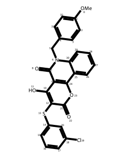 COc1ccc(Cn2c(=O)c3c(O)c(Sc4cccc(Cl)c4)c(=O)oc3c3ccccc32)cc1